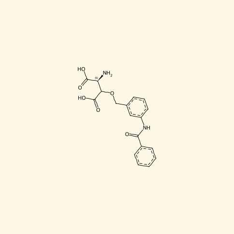 N[C@H](C(=O)O)C(OCc1cccc(NC(=O)c2ccccc2)c1)C(=O)O